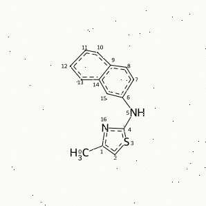 Cc1csc(Nc2ccc3ccccc3c2)n1